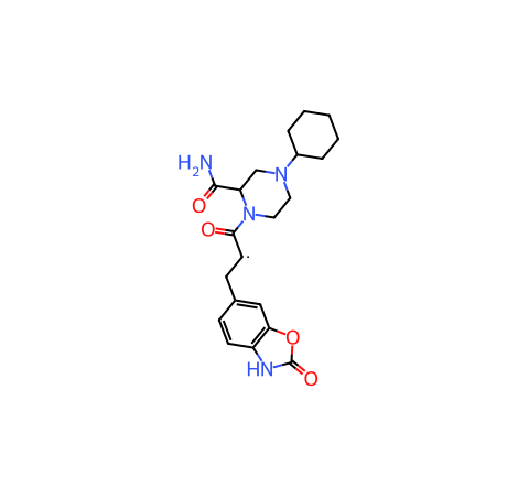 NC(=O)C1CN(C2CCCCC2)CCN1C(=O)[CH]Cc1ccc2[nH]c(=O)oc2c1